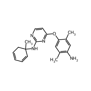 Cc1cc(Oc2ccnc(NC3(C)C=CC=CC3)n2)c(C)cc1N